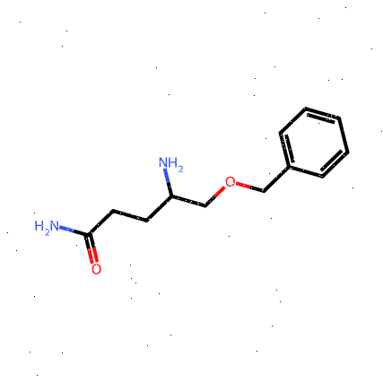 NC(=O)CCC(N)COCc1ccccc1